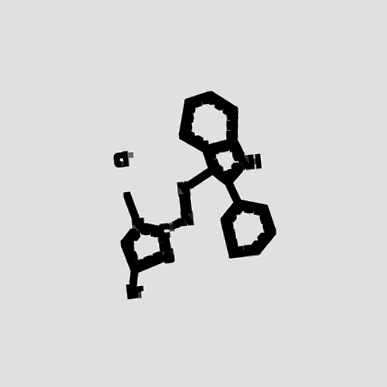 Cn1cc(Br)s[c+]1N=Nc1c(-c2ccccc2)[nH]c2ccccc12.[Cl-]